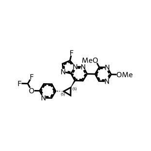 COc1ncc(-c2cc([C@H]3C[C@@H]3c3ccc(OC(F)F)nc3)c3ncc(F)n3n2)c(OC)n1